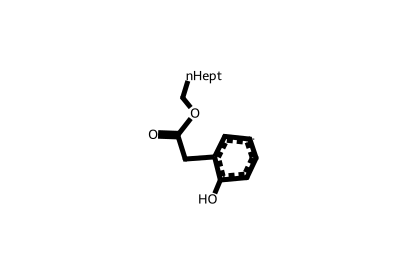 CCCCCCCCOC(=O)Cc1c[c]ccc1O